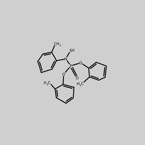 Cc1ccccc1OP(=O)(Oc1ccccc1C)N(S)c1ccccc1C